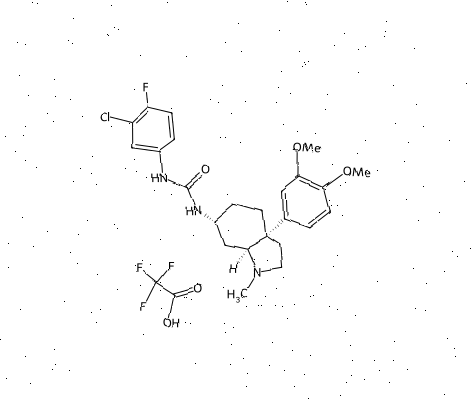 COc1ccc([C@@]23CC[C@@H](NC(=O)Nc4ccc(F)c(Cl)c4)C[C@@H]2N(C)CC3)cc1OC.O=C(O)C(F)(F)F